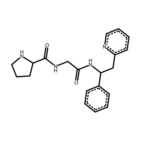 O=C(CNC(=O)C1CCCN1)NC(Cc1ccccn1)c1ccccc1